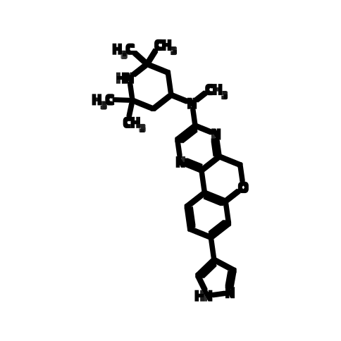 CN(c1cnc2c(n1)COc1cc(-c3cn[nH]c3)ccc1-2)C1CC(C)(C)NC(C)(C)C1